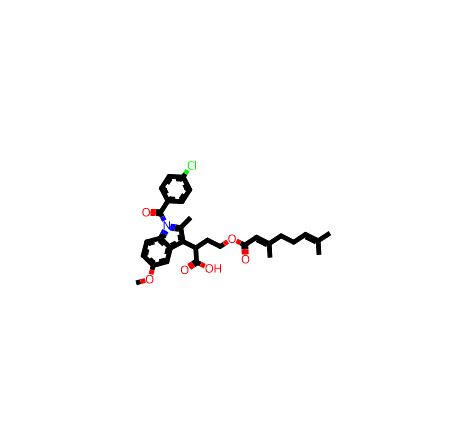 COc1ccc2c(c1)c(C(CCOC(=O)/C=C(\C)CCC=C(C)C)C(=O)O)c(C)n2C(=O)c1ccc(Cl)cc1